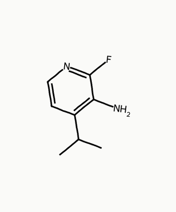 CC(C)c1ccnc(F)c1N